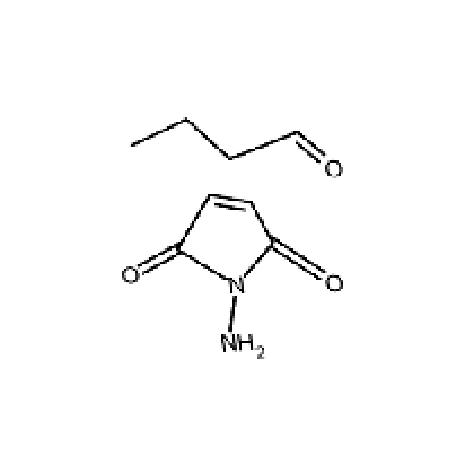 CCCC=O.NN1C(=O)C=CC1=O